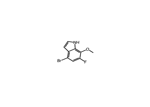 COc1c(F)cc(Br)c2cc[nH]c12